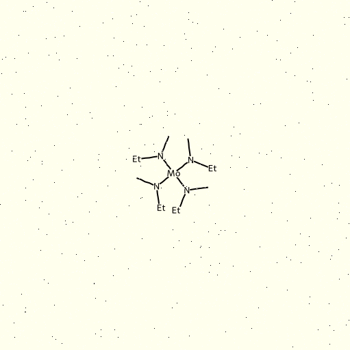 CC[N](C)[Mo]([N](C)CC)([N](C)CC)[N](C)CC